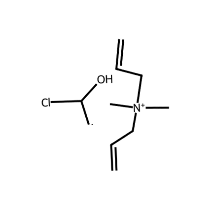 C=CC[N+](C)(C)CC=C.[CH2]C(O)Cl